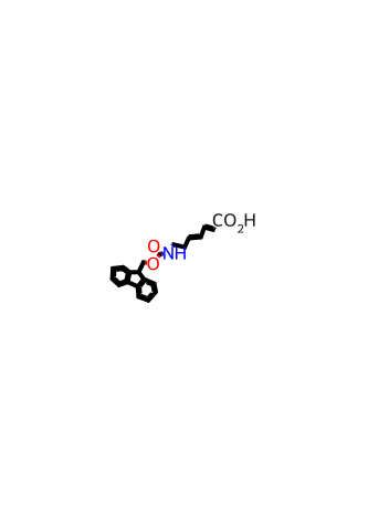 O=C(O)C=CC=CCCNC(=O)OCC1c2ccccc2-c2ccccc21